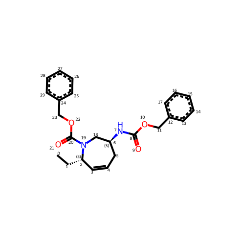 CC[C@H]1C=CC[C@H](NC(=O)OCc2ccccc2)CN1C(=O)OCc1ccccc1